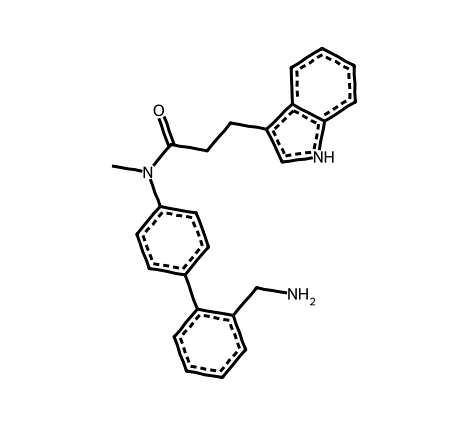 CN(C(=O)CCc1c[nH]c2ccccc12)c1ccc(-c2ccccc2CN)cc1